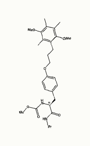 COc1c(C)c(C)c(OC)c(CCCOc2ccc(C[C@H](NC(=O)OC(C)(C)C)C(=O)NC(C)C)cc2)c1C